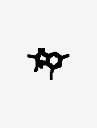 Cc1cc(I)c2c(c1)nc(C)n2C